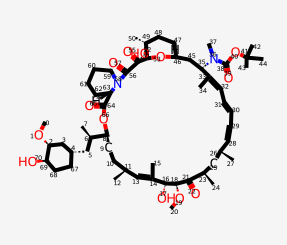 CO[C@@H]1C[C@H](C[C@@H](C)[C@@H]2CC[C@H](C)/C=C(\C)[C@@H](O)[C@@H](OC)C(=O)[C@H](C)C[C@H](C)/C=C/C=C/C=C(\C)[C@@H](N(C)C(=O)OC(C)(C)C)C[C@@H]3CC[C@@H](C)[C@@](O)(O3)C(=O)C(=O)N3CCCC[C@H]3C(=O)O2)CC[C@H]1O